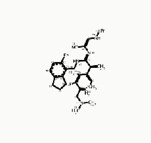 C=C(C(=C/C)/C(C)=C(/F)C(=C)CN(C)C)/C(=N/C(C#N)=C\NCCC)NCc1c(F)ccc2c1CCC2